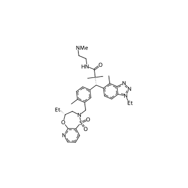 CC[C@@H]1CN(Cc2cc([C@@H](c3ccc4c(nnn4CC)c3C)C(C)(C)C(=O)NCCNC)ccc2C)S(=O)(=O)c2cccnc2O1